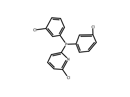 Clc1cccc(P(c2cccc(Cl)c2)c2cccc(Cl)n2)c1